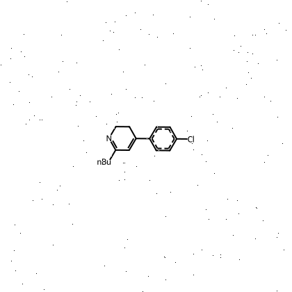 CCCCC1=NCCC(c2ccc(Cl)cc2)=C1